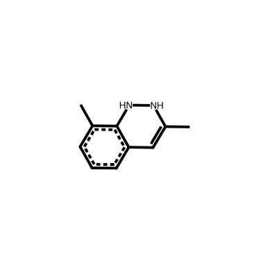 CC1=Cc2cccc(C)c2NN1